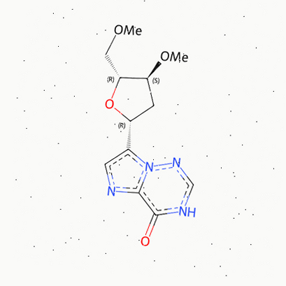 COC[C@H]1O[C@@H](c2cnc3c(=O)[nH]cnn23)C[C@@H]1OC